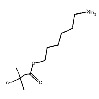 CC(C)(Br)C(=O)OCCCCCCN